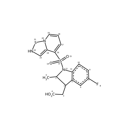 CC1C(CC(=O)O)c2cc(F)ccc2N1S(=O)(=O)C1=CC=CN2SNC=C12